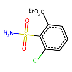 CCOC(=O)c1cccc(Cl)c1S(N)(=O)=O